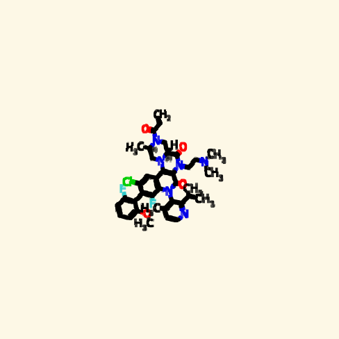 C=CC(=O)N1C[C@@H]2C(=O)N(CCN(C)C)c3c(c4cc(Cl)c(-c5c(F)cccc5OC)c(F)c4n(-c4c(C)ccnc4C(C)C)c3=O)N2C[C@H]1C